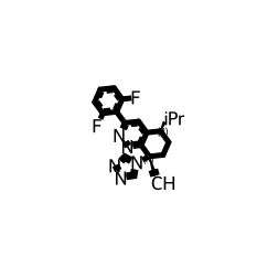 C#C[C@]1(n2cnnc2)CC[C@H](C(C)C)c2cc(-c3c(F)cccc3F)nnc21